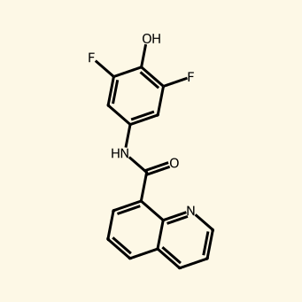 O=C(Nc1cc(F)c(O)c(F)c1)c1cccc2cccnc12